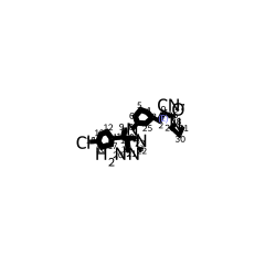 N#C/C(=C\c1cccc(-n2cc(-c3ccc(Cl)cc3)c3c(N)ncnc32)c1)C(=O)N1CCC1